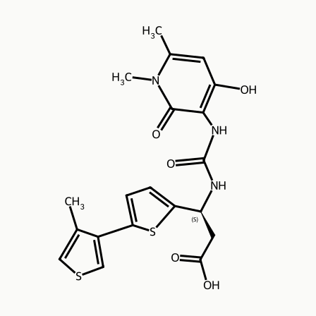 Cc1cscc1-c1ccc([C@H](CC(=O)O)NC(=O)Nc2c(O)cc(C)n(C)c2=O)s1